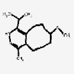 CSC1CCCC2C(C)=NNC(C(C)C)=C2CC1